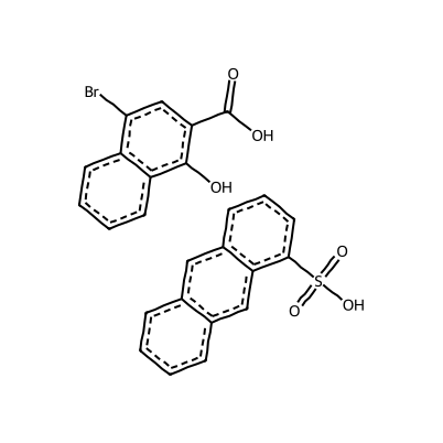 O=C(O)c1cc(Br)c2ccccc2c1O.O=S(=O)(O)c1cccc2cc3ccccc3cc12